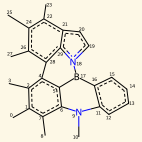 Cc1c(C)c2c3c(c1C)N(C)c1ccccc1B3n1ccc3c(C)c(C)c(C)c-2c31